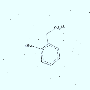 CCOC(=O)[CH]c1ccccc1C(C)(C)C